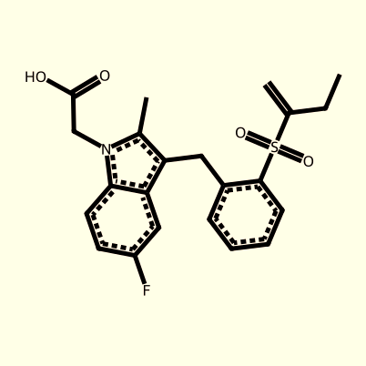 C=C(CC)S(=O)(=O)c1ccccc1Cc1c(C)n(CC(=O)O)c2ccc(F)cc12